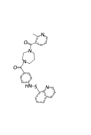 Cc1ncccc1C(=O)N1CCCN(C(=O)c2ccc(NSc3cccc4cccnc34)cc2)CC1